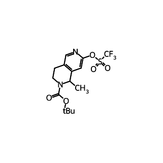 CC1c2cc(OS(=O)(=O)C(F)(F)F)ncc2CCN1C(=O)OC(C)(C)C